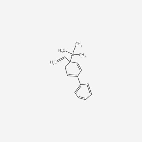 C=CC1([Si](C)(C)C)C=CC(c2ccccc2)=CC1